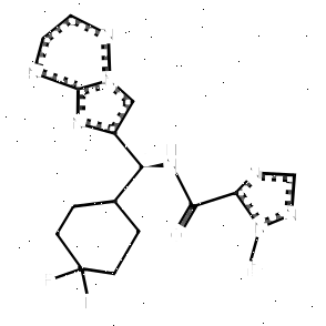 CC(C)n1ncnc1C(=O)N[C@H](c1cn2nccnc2n1)C1CCC(F)(F)CC1